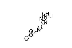 CP1C=Nc2cc(-c3cc[n+](CCCC(=O)OCc4ccccc4)cc3)cnc2C=N1